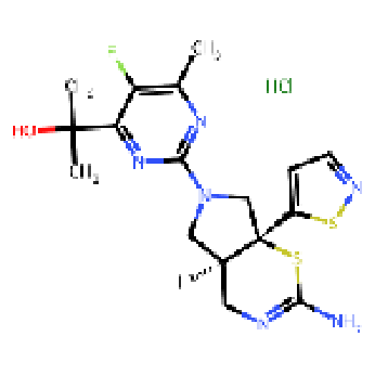 Cc1nc(N2C[C@@H]3CN=C(N)S[C@@]3(c3ccns3)C2)nc(C(C)(C)O)c1F.Cl